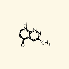 Cc1cc2c(=O)cc[nH]c2nn1